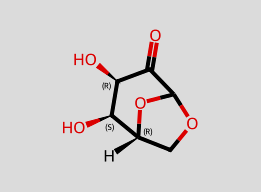 O=C1C2OC[C@@H](O2)[C@@H](O)[C@H]1O